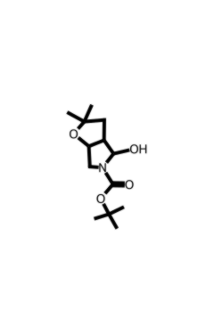 CC(C)(C)OC(=O)N1CC2OC(C)(C)CC2C1O